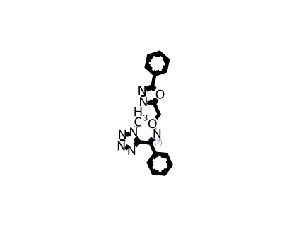 Cn1nnnc1/C(=N\OCc1nnc(-c2ccccc2)o1)c1ccccc1